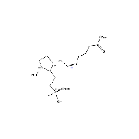 CCCCC[C@](C)(O)CCC1[C@@H](C/C=C\CCCC(=O)OC)CC[C@H]1O